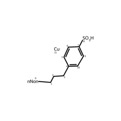 CCCCCCCCCCCCc1ccc(S(=O)(=O)O)cc1.[Cu]